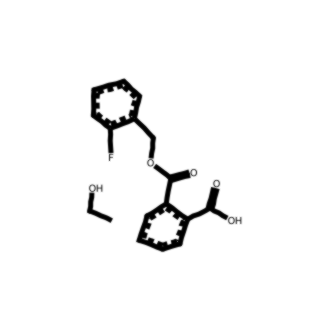 CCO.O=C(O)c1ccccc1C(=O)OCc1ccccc1F